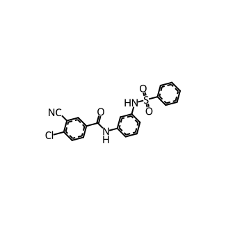 N#Cc1cc(C(=O)Nc2cccc(NS(=O)(=O)c3ccccc3)c2)ccc1Cl